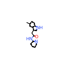 Cc1ccc2[nH]cc(CC(=O)Nc3ccccn3)c2c1